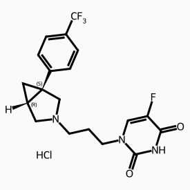 Cl.O=c1[nH]c(=O)n(CCCN2C[C@@H]3C[C@]3(c3ccc(C(F)(F)F)cc3)C2)cc1F